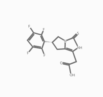 O=C(O)Cc1[nH]c(=S)n2c1C[C@H](c1c(F)c(F)cc(F)c1F)C2